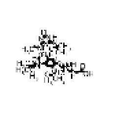 CC(C)Oc1cc(-n2nc(C(C)(C)C)oc2=O)c(Cl)cc1Cl.CCNc1nc(Cl)nc(NC(C)(C)C)n1.O=C(O)CNCP(=O)(O)O